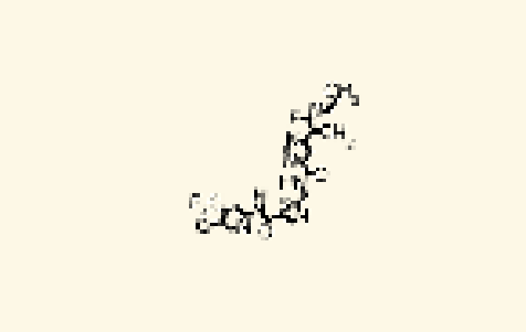 C=C(/C(F)=N\C=C/C)c1cc(C(=O)NCc2ncc(C(=O)Nc3cc(C(F)(F)F)c(Cl)cn3)s2)ncn1